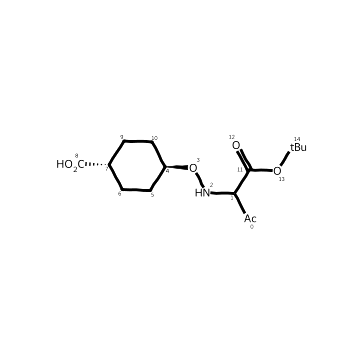 CC(=O)C(NO[C@H]1CC[C@H](C(=O)O)CC1)C(=O)OC(C)(C)C